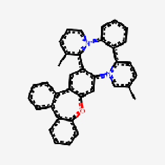 Cc1ccc2c3ccccc3[n+]3cccc(C)c3c3cc4c(cc3[n+]2c1)oc1ccccc1c1ccccc41